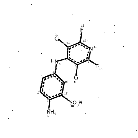 Nc1ccc(Nc2c(Cl)c(F)nc(F)c2Cl)cc1S(=O)(=O)O